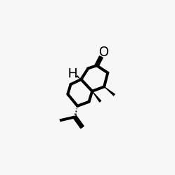 C=C(C)[C@@H]1CC[C@H]2CC(=O)C[C@@H](C)[C@]2(C)C1